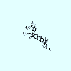 C=CCn1c(=O)c2cnc(Nc3ccc(N4CCN(C)CC4)c(C(F)(F)F)c3)nc2n1-c1ccc(=O)n(C(C)C)c1